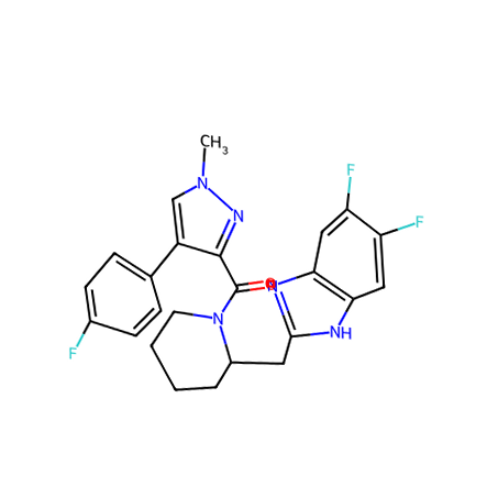 Cn1cc(-c2ccc(F)cc2)c(C(=O)N2CCCCC2Cc2nc3cc(F)c(F)cc3[nH]2)n1